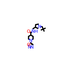 CC(C)(C)CN1CCC(CNC(=O)C2CCN(c3cnno3)CC2)C1